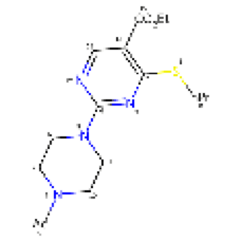 CCCSc1nc(N2CCN(C(C)=O)CC2)ncc1C(=O)OCC